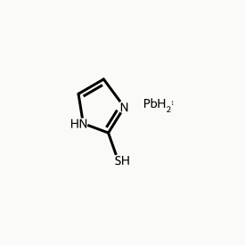 Sc1ncc[nH]1.[PbH2]